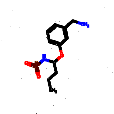 CCCC(N[SH](=O)=O)Oc1cc[c]c(CN)c1